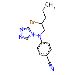 CCCC(Br)CN(c1ccc(C#N)cc1)n1cnnc1